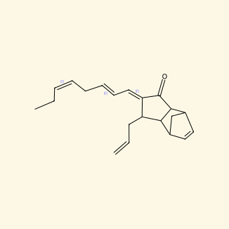 C=CCC1/C(=C\C=C\C/C=C\CC)C(=O)C2C3C=CC(C3)C12